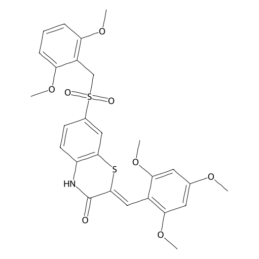 COc1cc(OC)c(C=C2Sc3cc(S(=O)(=O)Cc4c(OC)cccc4OC)ccc3NC2=O)c(OC)c1